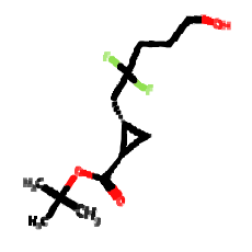 CC(C)(C)OC(=O)[C@@H]1C[C@H]1CC(F)(F)CCCO